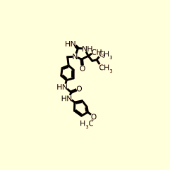 COc1ccc(NC(=O)Nc2ccc(CN3C(=N)NC(C)(CC(C)C)C3=O)cc2)cc1